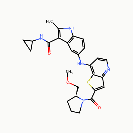 COC[C@@H]1CCCN1C(=O)c1cc2nccc(Nc3ccc4[nH]c(C)c(C(=O)NC5CC5)c4c3)c2s1